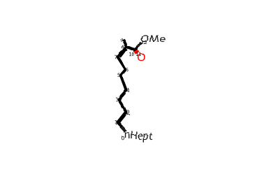 CCCCCCCCCCCCCC=C(C)C(=O)OC